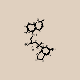 Cc1ccc2c(NC[C@](O)(CC(C)(C)c3cc(F)cc4c3OCC4)C(F)(F)F)c(C)ccc2n1